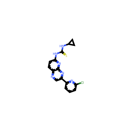 S=C(Nc1ccc2ncc(-c3cccc(Cl)n3)nc2n1)NC1CC1